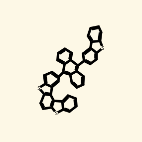 c1ccc2c(c1)sc1ccc(-c3c4ccccc4c(-c4ccc5sc6ccc7sc8ccccc8c7c6c5c4)c4ccccc34)cc12